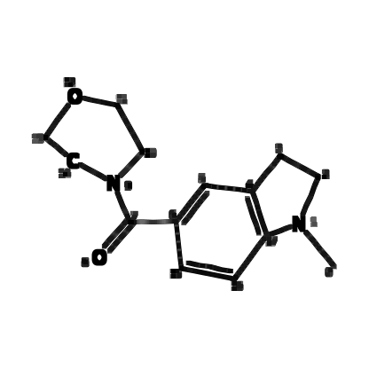 CN1CCc2cc(C(=O)N3CCOCC3)ccc21